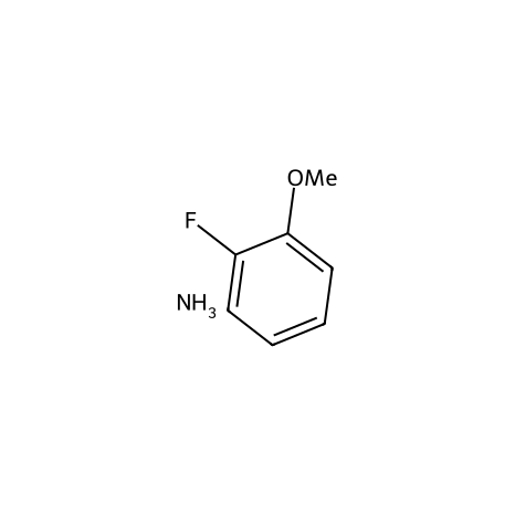 COc1ccccc1F.N